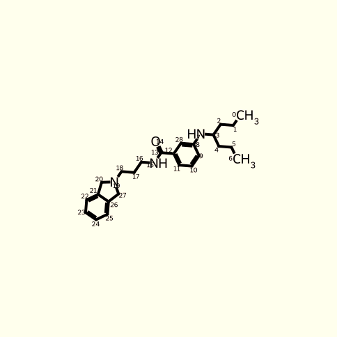 CCCC(CCC)Nc1cccc(C(=O)NCCCN2Cc3ccccc3C2)c1